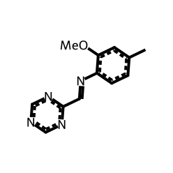 COc1cc(C)ccc1N=Cc1ncncn1